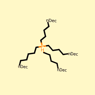 CCCCCCCCCCCCCCC[PH](CCCCCCCCCCCCCC)(CCCCCCCCCCCCCC)CCCCCCCCCCCCCC